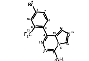 Nc1nnc(-c2ccc(Br)cc2C(F)(F)F)c2cncn12